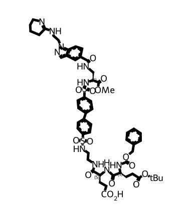 COC(=O)[C@H](CNC(=O)c1ccc2c(cnn2CCNC2=NCCCC2)c1)NS(=O)(=O)c1ccc(-c2ccc(S(=O)(=O)NCCNC(=O)[C@H](CCC(=O)O)NC(=O)[C@H](CCC(=O)OC(C)(C)C)NC(=O)OCc3ccccc3)cc2)cc1